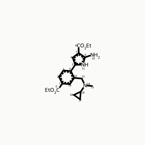 CCOC(=O)c1ccc(-c2cc(C(=O)OCC)c(N)[nH]2)c(CN(C)C2CC2)c1